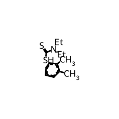 CCN(CC)C(=S)S.Cc1ccccc1C